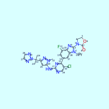 CC(C)n1c(N2CCOC2=O)nc2c(F)cc(-c3nc(Nc4cc(C(C)(C)n5nccn5)nn4C)ncc3Cl)cc21